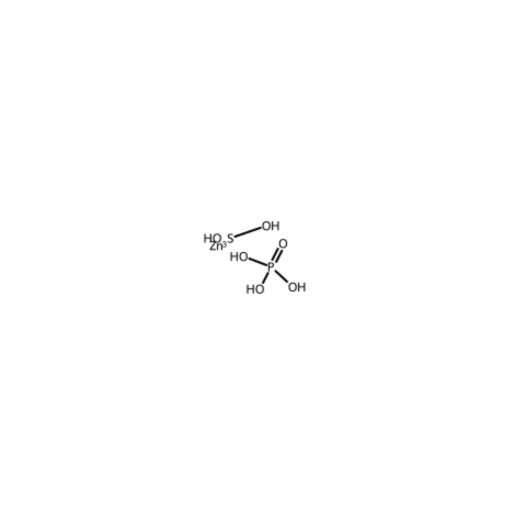 O=P(O)(O)O.O=S(=O)(O)O.[Zn]